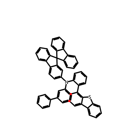 c1ccc(-c2cccc(N(c3ccc4c(c3)C3(c5ccccc5-c5ccccc53)c3ccccc3-4)c3ccccc3-c3cccc4c3sc3ccccc34)c2)cc1